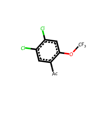 CC(=O)c1cc(Cl)c(Cl)cc1OC(F)(F)F